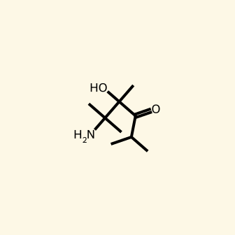 CC(C)C(=O)C(C)(O)C(C)(C)N